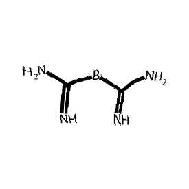 N=C(N)[B]C(=N)N